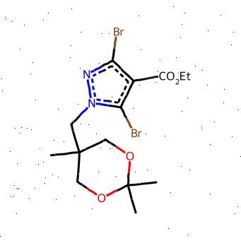 CCOC(=O)c1c(Br)nn(CC2(C)COC(C)(C)OC2)c1Br